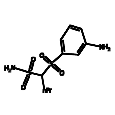 CCCC(S(N)(=O)=O)S(=O)(=O)c1cccc(N)c1